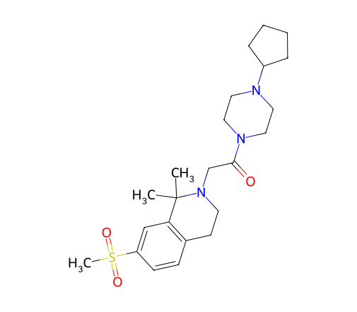 CC1(C)c2cc(S(C)(=O)=O)ccc2CCN1CC(=O)N1CCN(C2CCCC2)CC1